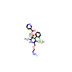 CCOC(=O)C1=C(COCCN)NC(C)C(C)(C(=O)OC(=O)c2cccnc2)C1c1ccccc1Cl